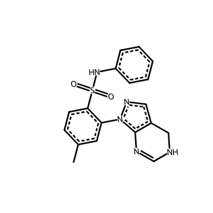 Cc1ccc(S(=O)(=O)Nc2ccccc2)c(-n2ncc3c2N=CNC3)c1